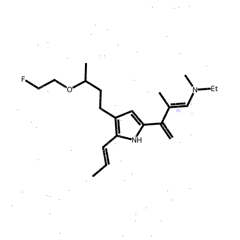 C=C(/C(C)=C/N(C)CC)c1cc(CCC(C)OCCF)c(C=CC)[nH]1